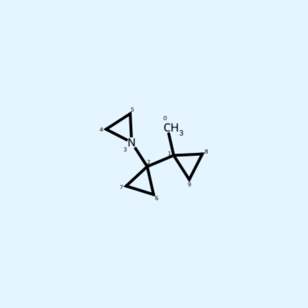 CC1(C2(N3CC3)CC2)CC1